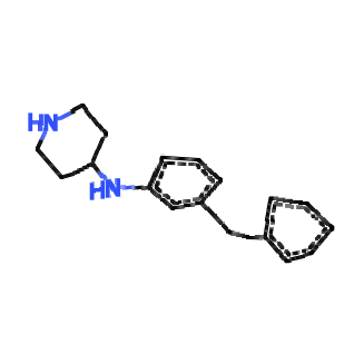 c1ccc(Cc2cccc(NC3CCNCC3)c2)cc1